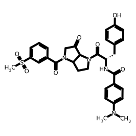 CN(C)c1ccc(C(=O)N[C@@H](Cc2ccc(O)cc2)C(=O)N2CCC3C2C(=O)CN3C(=O)c2cccc(S(C)(=O)=O)c2)cc1